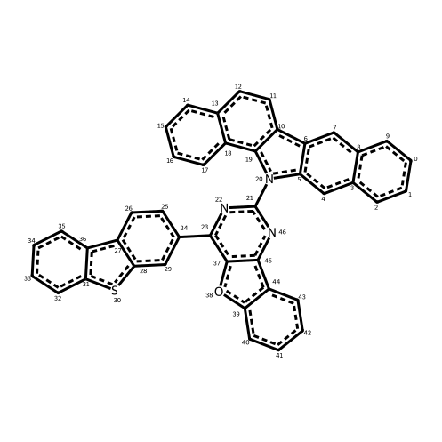 c1ccc2cc3c(cc2c1)c1ccc2ccccc2c1n3-c1nc(-c2ccc3c(c2)sc2ccccc23)c2oc3ccccc3c2n1